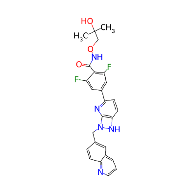 CC(C)(O)CONC(=O)c1c(F)cc(-c2ccc3[nH]n(Cc4ccc5ncccc5c4)c3n2)cc1F